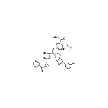 CNC(=O)C(=O)[C@H](CC1CC1)NC(=O)[C@@H]1C[C@]2(CC(c3cccc(Cl)c3)=NO2)CN1C(=O)[C@@H](NC(=O)[C@@H]1C[C@H]1C(=O)c1cnccn1)C(C)(C)C